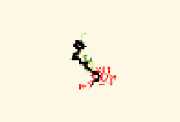 OC[C@H]1O[C@@H](c2cc(Cc3ccc(-c4ccc(F)cc4)s3)c(Cl)s2)[C@H](O)[C@@H](O)[C@@H]1O